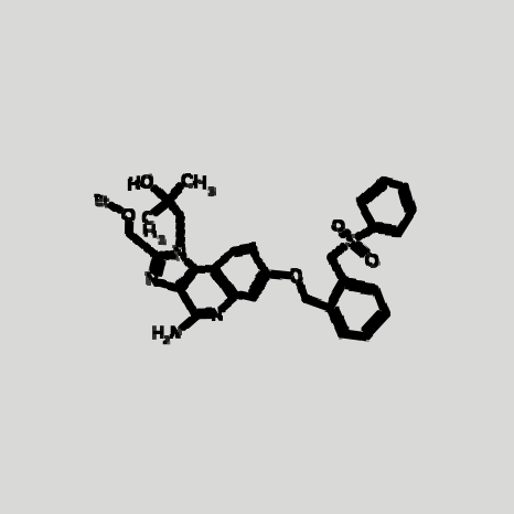 CCOCc1nc2c(N)nc3cc(OCc4ccccc4CS(=O)(=O)c4ccccc4)ccc3c2n1CC(C)(C)O